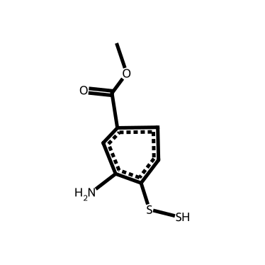 COC(=O)c1ccc(SS)c(N)c1